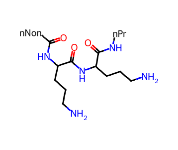 CCCCCCCCCC(=O)NC(CCCN)C(=O)NC(CCCN)C(=O)NCCC